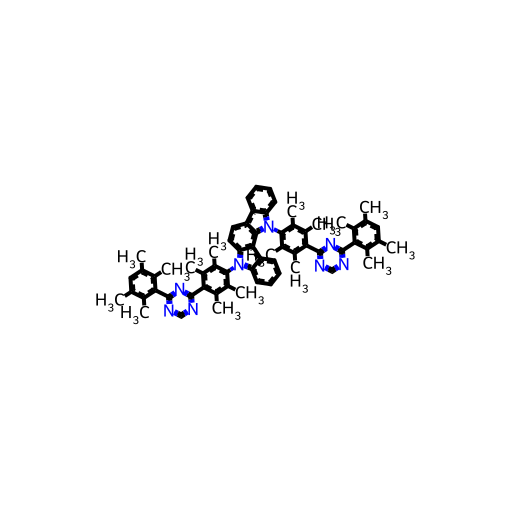 Cc1cc(C)c(C)c(-c2ncnc(-c3c(C)c(C)c(-n4c5ccccc5c5c4ccc4c6ccccc6n(-c6c(C)c(C)c(-c7ncnc(-c8c(C)c(C)cc(C)c8C)n7)c(C)c6C)c45)c(C)c3C)n2)c1C